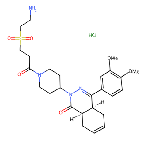 COc1ccc(C2=NN(C3CCN(C(=O)CCS(=O)(=O)CCN)CC3)C(=O)[C@@H]3CC=CC[C@H]23)cc1OC.Cl